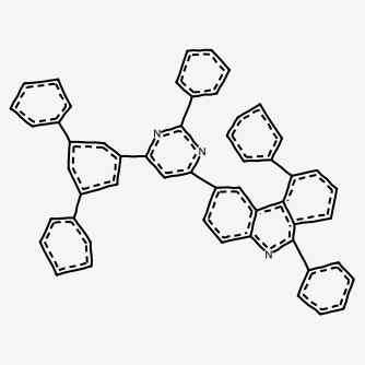 c1ccc(-c2cc(-c3ccccc3)cc(-c3cc(-c4ccc5nc(-c6ccccc6)c6cccc(-c7ccccc7)c6c5c4)nc(-c4ccccc4)n3)c2)cc1